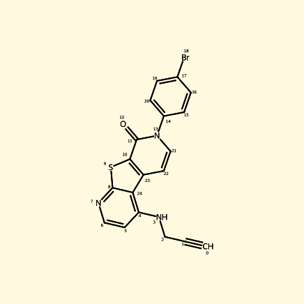 C#CCNc1ccnc2sc3c(=O)n(-c4ccc(Br)cc4)ccc3c12